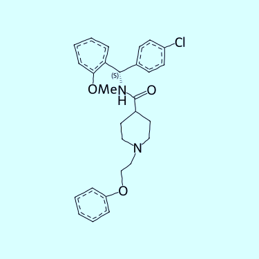 COc1ccccc1[C@@H](NC(=O)C1CCN(CCOc2ccccc2)CC1)c1ccc(Cl)cc1